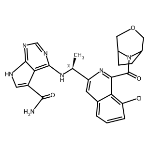 C[C@H](Nc1ncnc2[nH]cc(C(N)=O)c12)c1cc2cccc(Cl)c2c(C(=O)N2C3CCC2COC3)n1